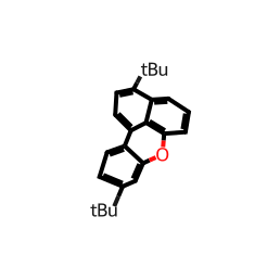 CC(C)(C)c1ccc2c(c1)Oc1cccc3c(C(C)(C)C)ccc-2c13